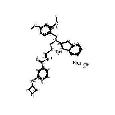 COc1ccc(CN(C[C@H](O)CNC(=O)c2ccnc(NC3CNC3)c2)C2Cc3ccccc3C2)c(OC)c1.Cl.Cl